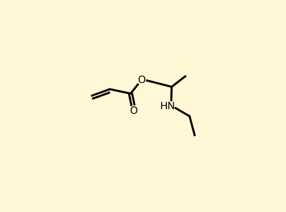 C=CC(=O)OC(C)NCC